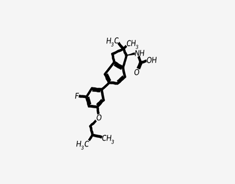 CC(C)COc1cc(F)cc(-c2ccc3c(c2)CC(C)(C)[C@H]3NC(=O)O)c1